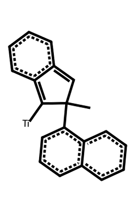 CC1(c2cccc3ccccc23)C=c2ccccc2=[C]1[Ti]